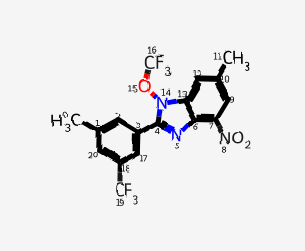 Cc1cc(-c2nc3c([N+](=O)[O-])cc(C)cc3n2OC(F)(F)F)cc(C(F)(F)F)c1